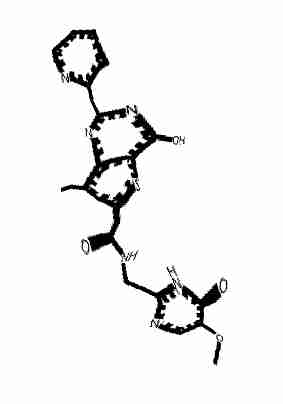 COc1cnc(CNC(=O)c2sc3c(O)nc(-c4ccccn4)nc3c2C)[nH]c1=O